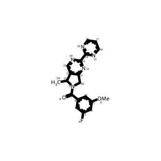 COc1cc(F)cc(C(=O)N2Cc3nc(-c4ncccn4)ncc3C2C)c1